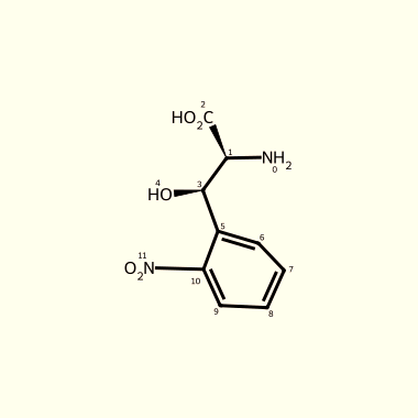 N[C@H](C(=O)O)[C@H](O)c1ccccc1[N+](=O)[O-]